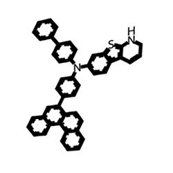 C1=Cc2c(sc3cc(N(c4ccc(-c5ccccc5)cc4)c4ccc(-c5cc6ccccc6c6c5ccc5ccccc56)cc4)ccc23)NC1